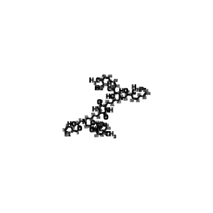 CC/C=C\C/C=C\OC(O)CN(CCCCC1NC(=O)C(CCCCN(CC(O)C(C)/C=C\C/C=C\C(C)C)CC(O)C(C)/C=C\C/C=C\C(C)CC(C)CC)NC1=O)CC(O)O/C=C\C/C=C\C(C)(C)CC(C)(C)C